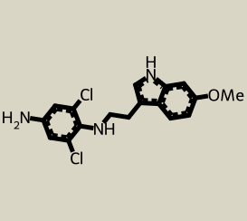 COc1ccc2c(CCNc3c(Cl)cc(N)cc3Cl)c[nH]c2c1